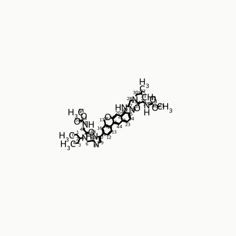 CCC(CC)N(Cc1ncc(-c2ccc3c(c2)COc2cc4c(ccc5nc(CN(CC(C)C)C(=O)CNC(=O)OC)[nH]c54)cc2-3)[nH]1)C(=O)CNC(=O)OC